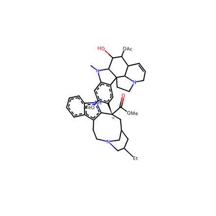 CCC1CC2CN(CCc3c([nH]c4ccccc34)[C@@](C(=O)OC)(c3cc4c(cc3OC)N(C)C3C(O)C(OC(C)=O)C5C=CCN6CCC43C56)C2)C1